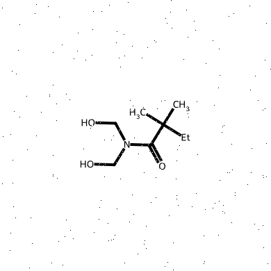 CCC(C)(C)C(=O)N(CO)CO